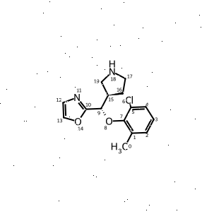 Cc1cccc(Cl)c1O[C@H](c1ncco1)[C@@H]1CCNC1